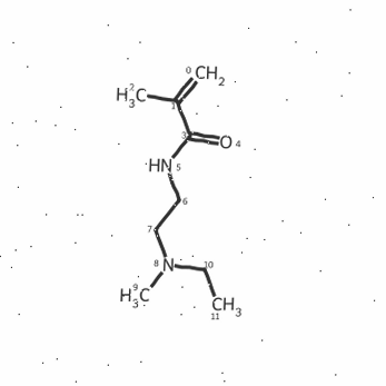 C=C(C)C(=O)NCCN(C)CC